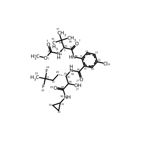 COC(=O)N[C@H](C(=O)Nc1ccc(Cl)cc1C(=O)N[C@@H](CCC(C)(F)F)C(O)C(=O)NC1CC1)C(C)(C)C